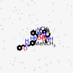 CN[C@@H](C)C(=O)N[C@H]1CCS[C@H]2CC(C)(C)[C@@H](C(=O)N[C@H](C(=O)NCc3ccc(CNC(=O)Cc4ccccc4)cc3)c3ccccc3)N2C1=O